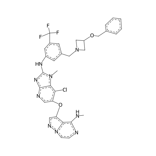 CNc1nccn2ncc(Oc3cnc4nc(Nc5cc(CN6CC(OCc7ccccc7)C6)cc(C(F)(F)F)c5)n(C)c4c3Cl)c12